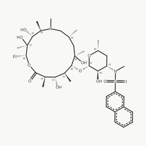 CC[C@H]1OC(=O)[C@H](C)[C@@H](O)[C@H](C)[C@@H](O[C@@H]2O[C@H](C)C[C@H](N(C)S(=O)(=O)c3ccc4ccccc4c3)[C@H]2O)[C@](C)(O)C[C@@H](C)CN(C)[C@H](C)[C@@H](O)[C@]1(C)O